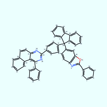 c1ccc(-c2nc3ccc(C4(c5ccc(-c6nc(-c7ccccc7)c7c(ccc8ccccc87)n6)cc5)c5ccccc5-c5ccccc54)cc3o2)cc1